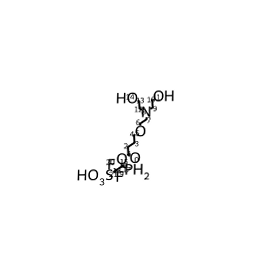 O=C(CCCOCCN(CCO)CCO)OC(P)C(F)(F)S(=O)(=O)O